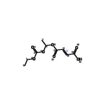 CCOC(=O)OC(C)OC(=O)/C=C/C(=O)O